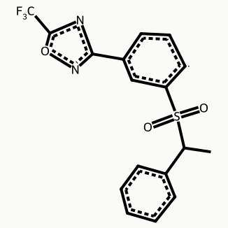 CC(c1ccccc1)S(=O)(=O)c1[c]ccc(-c2noc(C(F)(F)F)n2)c1